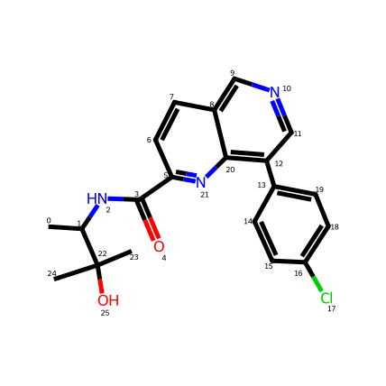 CC(NC(=O)c1ccc2cncc(-c3ccc(Cl)cc3)c2n1)C(C)(C)O